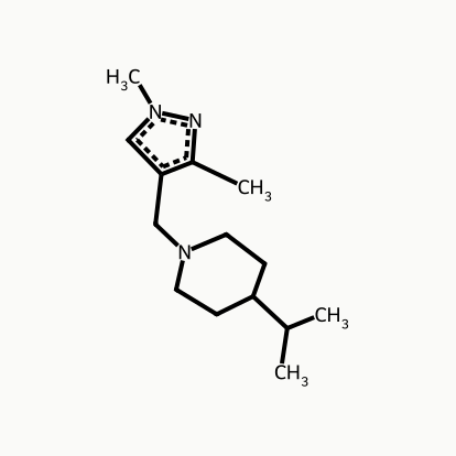 Cc1nn(C)cc1CN1CCC(C(C)C)CC1